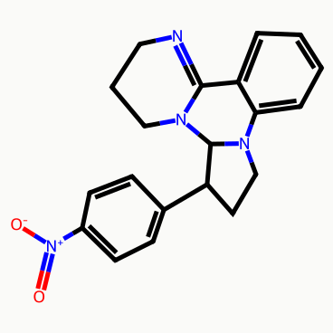 O=[N+]([O-])c1ccc(C2CCN3c4ccccc4C4=NCCCN4C23)cc1